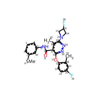 CSc1cccc(NC(=O)c2c(Oc3ccc(F)cc3C)nnc(N3CC(F)C3)c2C)c1